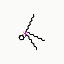 CCCCCCCCC[PH](CCCCCCCCC)(CCCCCCCCC)Sc1ccccc1